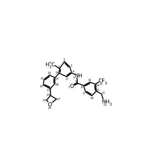 Cc1ccc(NC(=O)c2ccc(CN)c(C(F)(F)F)c2)cc1-c1cccc(C2COC2)c1